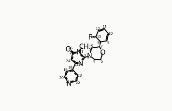 Cn1c(N2CCO[C@H](C3C=CC=CC3F)C2)nc(-c2ccncc2)cc1=O